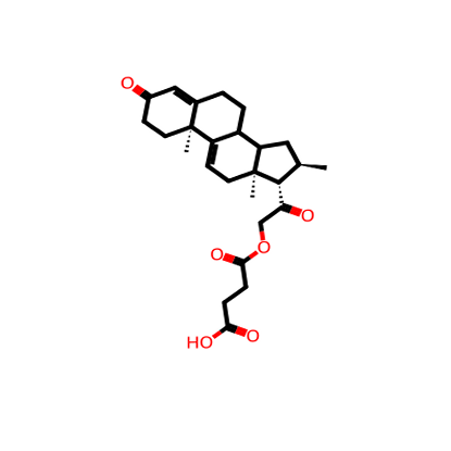 C[C@@H]1CC2C3CCC4=CC(=O)CC[C@]4(C)C3=CC[C@]2(C)[C@H]1C(=O)COC(=O)CCC(=O)O